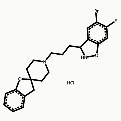 Cl.Fc1cc2c(cc1Br)C(CCCN1CCC3(CC1)Cc1ccccc1O3)NO2